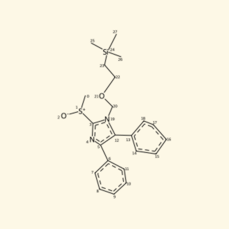 C[S+]([O-])c1nc(-c2ccccc2)c(-c2ccccc2)n1COCC[Si](C)(C)C